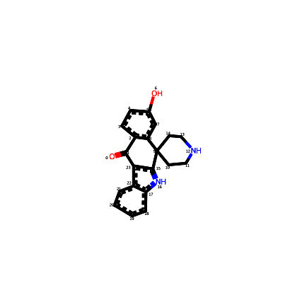 O=C1c2ccc(O)cc2C2(CCNCC2)c2[nH]c3ccccc3c21